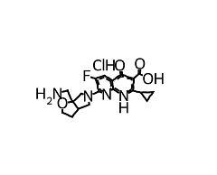 Cl.NCC12CN(c3nc4[nH]c(C5CC5)c(C(=O)O)c(=O)c4cc3F)CC1CCO2